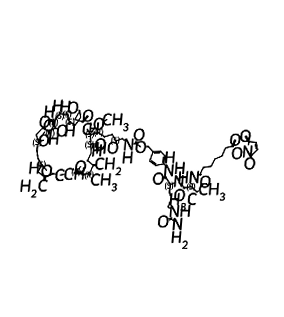 C=C1C[C@@H]2CC[C@@]34CC5O[C@@H]6C(O[C@H]7CCC(CC(=O)C[C@H]8[C@H](CC9O[C@@H](CCC1O2)C[C@@H](C)C9=C)OC(C[C@H](O)CNC(=O)OCc1ccc(NC(=O)[C@H](CCCNC(N)=O)NC(=O)[C@@H](NC(=O)CCCCCC(=O)ON2C(=O)C=CC2=O)C(C)C)cc1)[C@@H]8OC)O[C@@H]7[C@@H]6O3)[C@@H]5O4